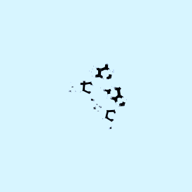 Nc1nc2c(ncn2[C@@H]2O[C@H](CO)[C@@H](F)[C@H]2OP(=O)(S)OC[C@H]2O[C@@H](n3nnc4c(=O)[nH]cnc43)C(F)(F)[C@@H]2O[PH](=O)S)c(=O)[nH]1